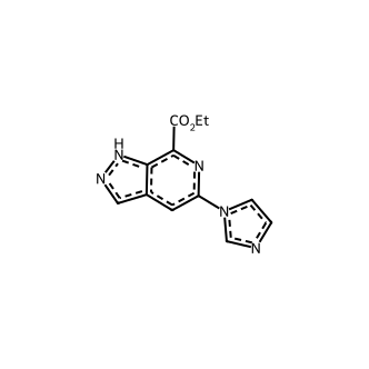 CCOC(=O)c1nc(-n2ccnc2)cc2cn[nH]c12